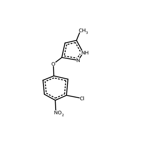 Cc1cc(Oc2ccc([N+](=O)[O-])c(Cl)c2)n[nH]1